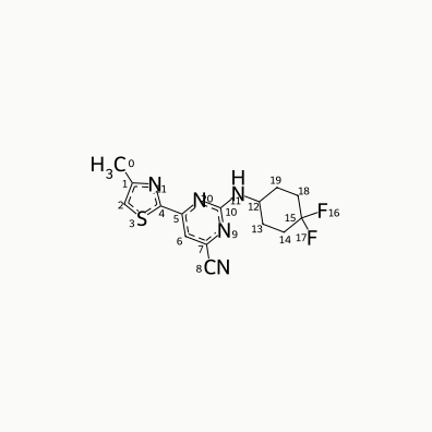 Cc1csc(-c2cc(C#N)nc(NC3CCC(F)(F)CC3)n2)n1